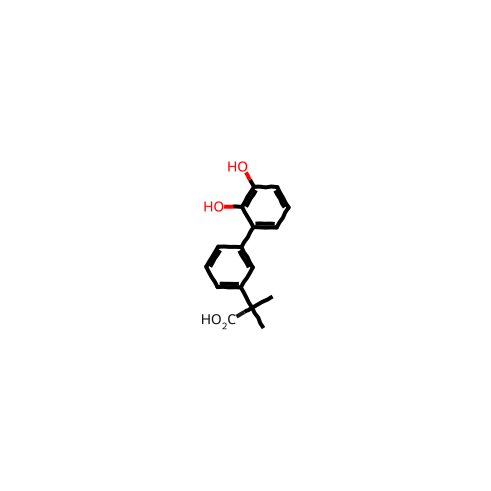 CC(C)(C(=O)O)c1cccc(-c2cccc(O)c2O)c1